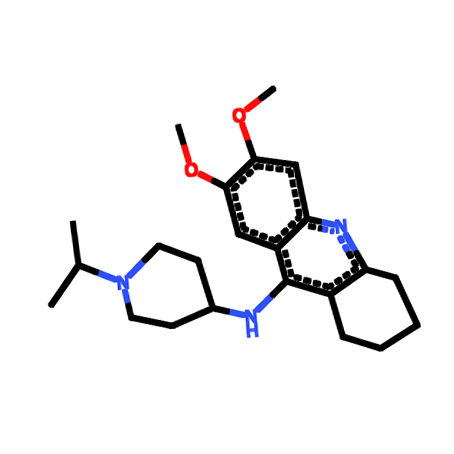 COc1cc2nc3c(c(NC4CCN(C(C)C)CC4)c2cc1OC)CCCC3